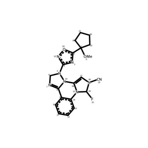 COC1(c2nc(N3CN=C4c5ccccc5N5C(=CN(C#N)C5F)N43)no2)CCCC1